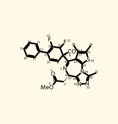 COC(=O)C[C@@H]1N=C(C2(C(=O)O)C=CC(c3ccccc3)=C(F)C2F)c2c(sc(C)c2C)-n2c(C)nnc21